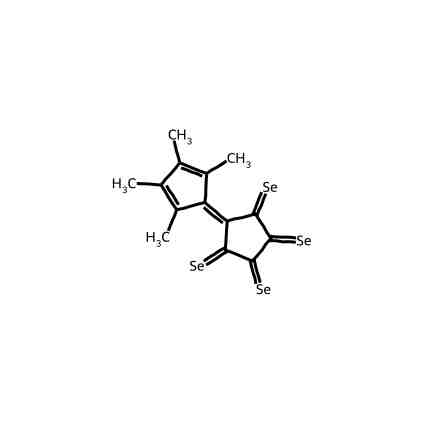 CC1=C(C)C(=C2C(=[Se])C(=[Se])C(=[Se])C2=[Se])C(C)=C1C